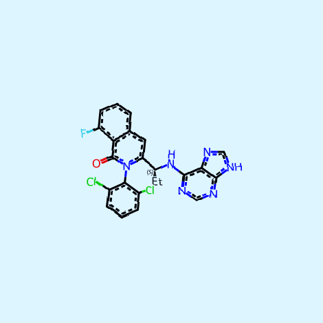 CC[C@H](Nc1ncnc2[nH]cnc12)c1cc2cccc(F)c2c(=O)n1-c1c(Cl)cccc1Cl